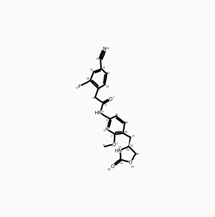 COc1nc(NC(=O)Cc2ccc(C#N)cc2F)ccc1C[C@H]1COC(=O)N1